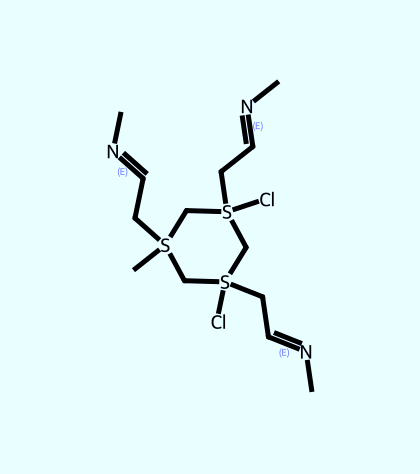 C/N=C/CS1(C)CS(Cl)(C/C=N/C)CS(Cl)(C/C=N/C)C1